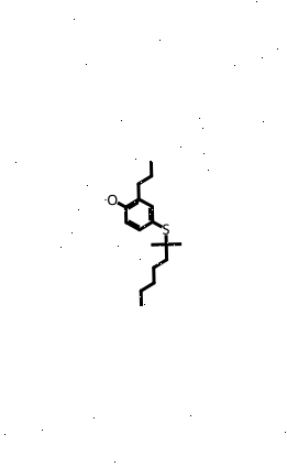 CCCCCC(C)(C)Sc1ccc([O])c(CCC)c1